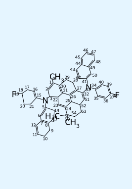 CC1=CC(N(C2=CC3=C(CCC=C3)CC2)C2=CCC(F)CC2)C2C=C3C4C5=C(CCC1=C52)C(N(c1ccc(F)cc1)c1ccc2ccccc2c1)=CC4CCC3(C)C